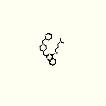 CN(C)CCCNc1nc(CN2CCN(CC3CCC=CO3)CC2)nc2ccccc12